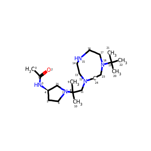 CC(=O)N[C@@H]1CCN(C(C)(C)CN2CCNCCN(C(C)(C)C)CC2)C1